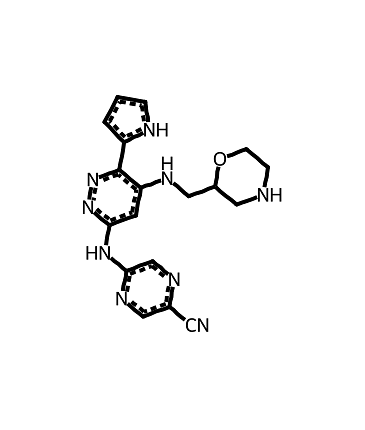 N#Cc1cnc(Nc2cc(NCC3CNCCO3)c(-c3ccc[nH]3)nn2)cn1